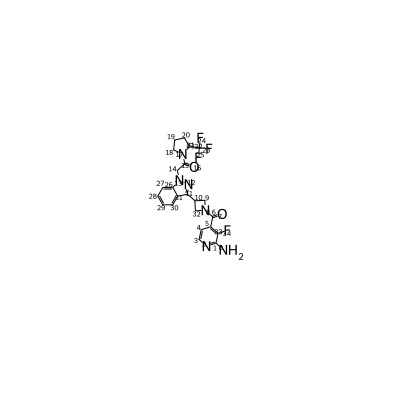 Nc1nccc(C(=O)N2CC(c3nn(CC(=O)N4CCC[C@H]4C(F)(F)F)c4ccccc34)C2)c1F